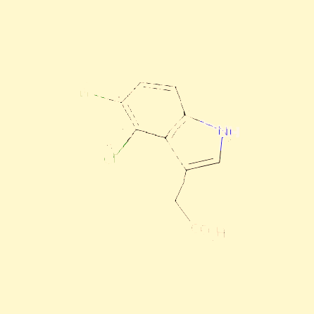 O=C(O)Cc1c[nH]c2ccc(Br)c(Cl)c12